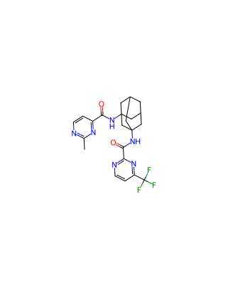 Cc1nccc(C(=O)NC23CC4CC(C2)CC(NC(=O)c2nccc(C(F)(F)F)n2)(C4)C3)n1